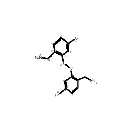 NCc1ccc(Br)cc1SSc1cc(Br)ccc1CN